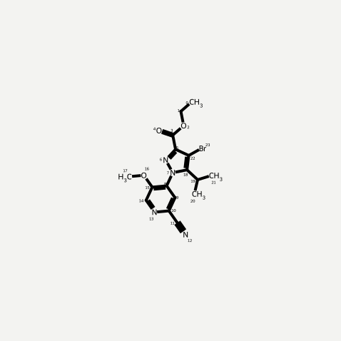 CCOC(=O)c1nn(-c2cc(C#N)ncc2OC)c(C(C)C)c1Br